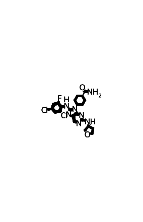 NC(=O)[C@H]1CC[C@H](n2c(Nc3c(F)cc(Cl)cc3Cl)nc3cnc(N[C@@H]4CCOC4)nc32)CC1